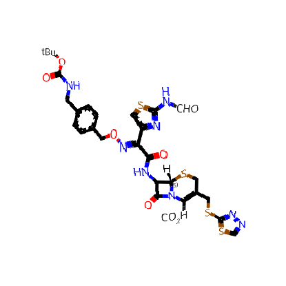 CC(C)(C)OC(=O)NCc1ccc(CON=C(C(=O)NC2C(=O)N3C(C(=O)O)=C(CSc4nncs4)CS[C@@H]23)c2csc(NC=O)n2)cc1